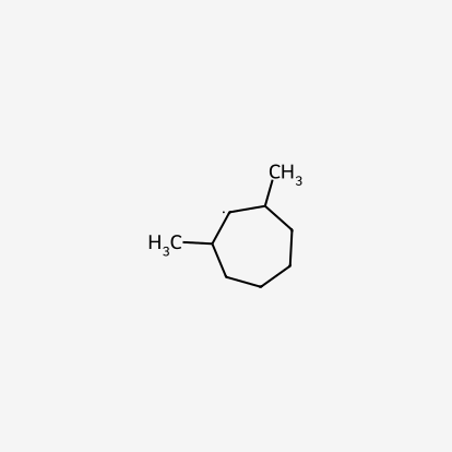 CC1[CH]C(C)CCCC1